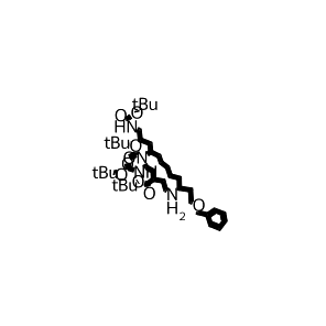 CC(C)(C)OC(=O)NCCCC(CCCCCCCCOCc1ccccc1)N(C(=O)OC(C)(C)C)C(CC(CCN)C(=O)OC(C)(C)C)NC(=O)OC(C)(C)C